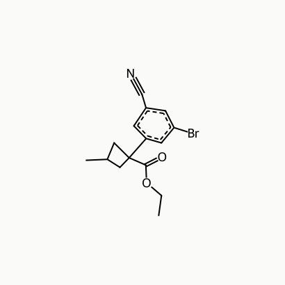 CCOC(=O)C1(c2cc(Br)cc(C#N)c2)CC(C)C1